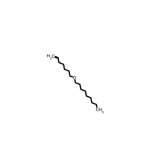 C=CCCCCCOCCCCCCCCC